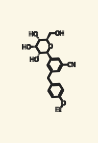 CCOc1ccc(Cc2cc(C#N)cc([C@@H]3O[C@H](CO)[C@@H](O)[C@H](O)[C@H]3O)c2)cc1